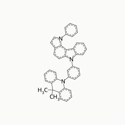 CC1(C)c2ccccc2N(c2cccc(-n3c4ccccc4c4c5c(ccc43)ccn5-c3ccccc3)c2)c2ccccc21